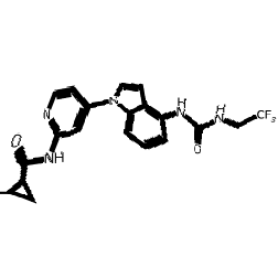 O=C(NCC(F)(F)F)Nc1cccc2c1ccn2-c1ccnc(NC(=O)C2CC2)c1